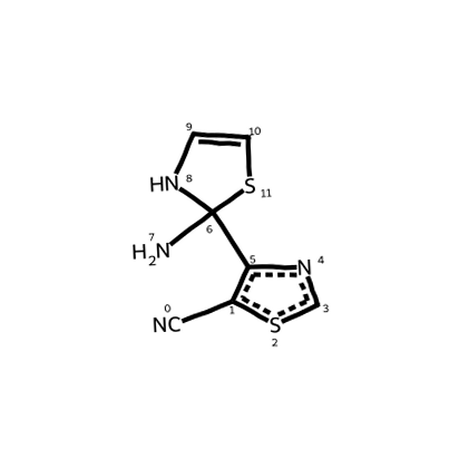 N#Cc1scnc1C1(N)NC=CS1